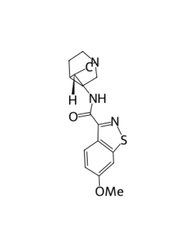 COc1ccc2c(C(=O)N[C@H]3CN4CCC3CC4)nsc2c1